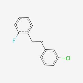 Fc1ccccc1C[CH]c1cccc(Cl)c1